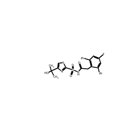 CC(C)c1cc(F)cc(C(C)C)c1CC(=O)NS(=O)(=O)c1nc(C(C)(C)O)cs1